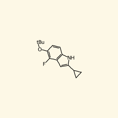 CC(C)(C)Oc1ccc2[nH]c(C3CC3)cc2c1F